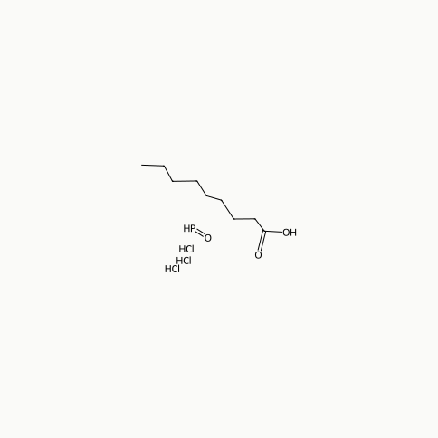 CCCCCCCCC(=O)O.Cl.Cl.Cl.O=P